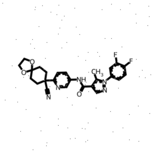 Cc1c(C(=O)Nc2ccc(C3(C#N)CCC4(CC3)OCCO4)nc2)cnn1-c1ccc(F)c(F)c1